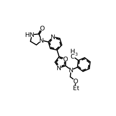 CCOCN(c1ncc(-c2ccnc(N3CCNC3=O)c2)o1)c1ccccc1C